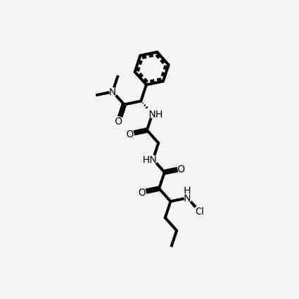 CCCC(NCl)C(=O)C(=O)NCC(=O)N[C@H](C(=O)N(C)C)c1ccccc1